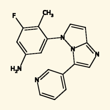 Cc1c(F)cc(N)cc1-n1ccc2ncc(-c3cccnc3)n21